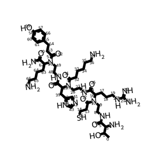 CC(O)C(N)C(=O)NCCN(C(=O)CCS)C(CCCNC(=N)N)C(=O)NCCN(C(=O)CCCCCN)C(Cc1cnc[nH]1)C(=O)NCCN(C(=O)CCc1ccc(O)cc1)C(CCCCN)C(N)=O